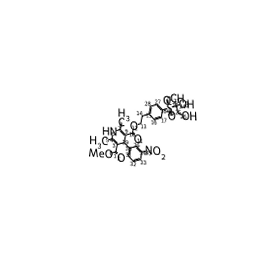 COC(=O)C1=C(C)NC(C)=C(C(=O)OCCc2ccc(S(=O)(=O)C(C)(O)CO)cc2)C1c1cccc([N+](=O)[O-])c1